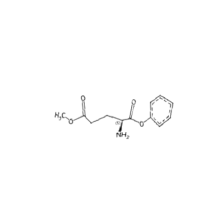 COC(=O)CC[C@H](N)C(=O)Oc1ccccc1